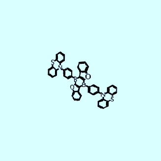 c1ccc2c(c1)Sc1ccccc1N2c1ccc(B2c3oc4ccccc4c3B(c3ccc(N4c5ccccc5Sc5ccccc54)cc3)c3oc4ccccc4c32)cc1